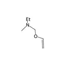 C=COCN(C)CC